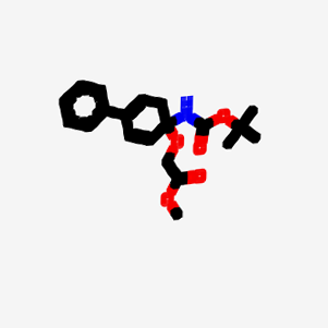 COC(=O)COC1(NC(=O)OC(C)(C)C)C=CC(c2ccccc2)=CC1